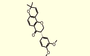 COc1ccc([C@H]2COc3c(ccc4c3C=CC(C)(C)O4)C2=O)cc1OC